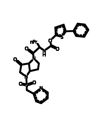 CCCC(NC(=O)Oc1ccc(-c2ccccc2)s1)C(=O)N1CCC2C1C(=O)CN2S(=O)(=O)Cc1ccccn1